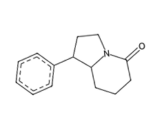 O=C1CCCC2C(c3ccccc3)CCN12